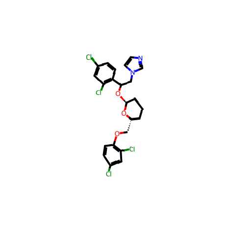 Clc1ccc(OC[C@H]2CCC[C@H](OC(Cn3ccnc3)c3ccc(Cl)cc3Cl)O2)c(Cl)c1